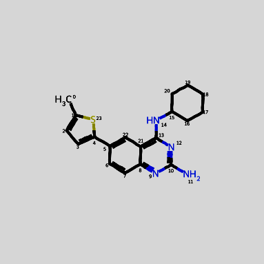 Cc1ccc(-c2ccc3nc(N)nc(NC4CCCCC4)c3c2)s1